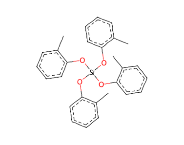 Cc1ccccc1O[Si](Oc1ccccc1C)(Oc1ccccc1C)Oc1ccccc1C